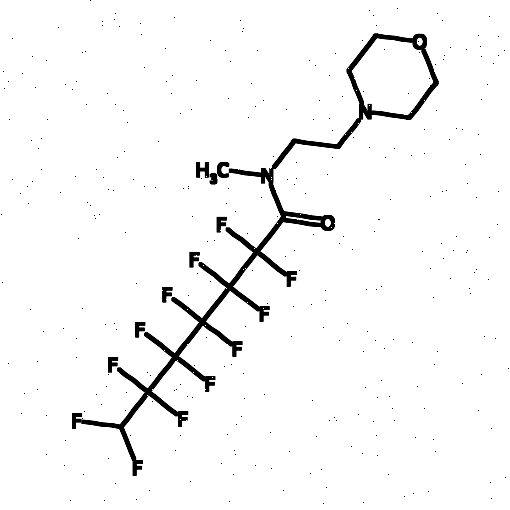 CN(CCN1CCOCC1)C(=O)C(F)(F)C(F)(F)C(F)(F)C(F)(F)C(F)(F)C(F)F